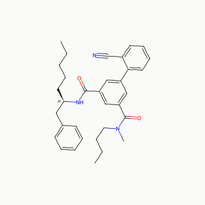 CCCCC[C@H](Cc1ccccc1)NC(=O)c1cc(C(=O)N(C)CCCC)cc(-c2ccccc2C#N)c1